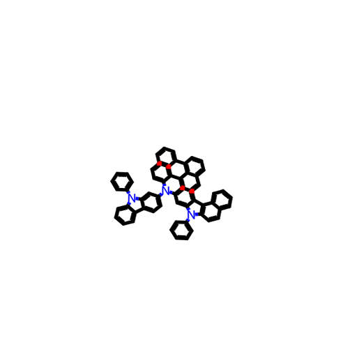 c1ccc(-c2cccc3cccc(-c4ccccc4N(c4ccc5c6ccccc6n(-c6ccccc6)c5c4)c4ccc5c6c7ccccc7ccc6n(-c6ccccc6)c5c4)c23)cc1